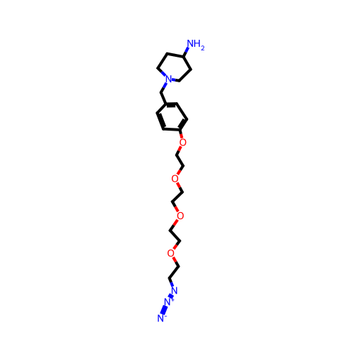 [N-]=[N+]=NCCOCCOCCOCCOc1ccc(CN2CCC(N)CC2)cc1